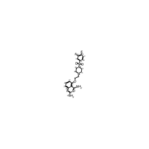 Nc1nc(N)c2c(OCCN3CCN(S(=O)(=O)c4ccc(F)c(F)c4)CC3)cccc2n1